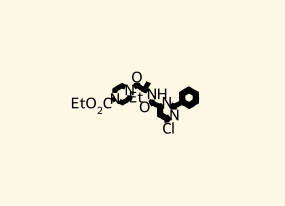 CCOC(=O)N1CCN(C(=O)C(C)(CC)NC(=O)c2cc(Cl)nc(-c3ccccc3)n2)CC1